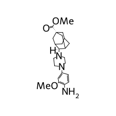 COc1cc(N2CCN([C@H]3C4CC5CC3C[C@](C(=O)OC)(C5)C4)CC2)ccc1N